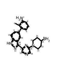 Cc1c(N)cccc1-c1ccc2[nH]nc(-c3cncc(N4CCC(N)CC4)n3)c2c1